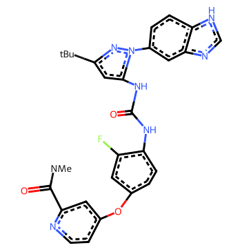 CNC(=O)c1cc(Oc2ccc(NC(=O)Nc3cc(C(C)(C)C)nn3-c3ccc4[nH]cnc4c3)c(F)c2)ccn1